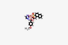 COc1ccc([C@]2(Cn3ccnc3)OC[C@@H](Cc3c(S(=O)(=O)O)ccc4ccccc34)O2)cc1